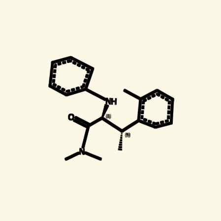 Cc1ccccc1[C@H](C)[C@H](Nc1ccccc1)C(=O)N(C)C